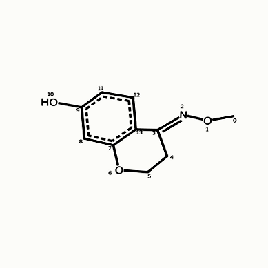 CO/N=C1\CCOc2cc(O)ccc21